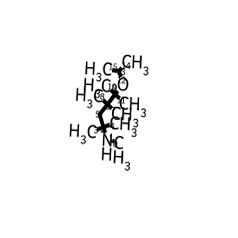 CNC(C)(C)CC(C)(C)C(C)(C)OC(C)C